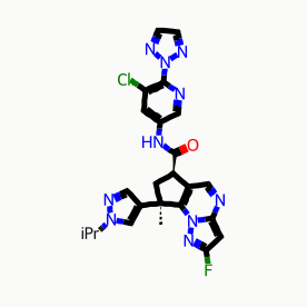 CC(C)n1cc([C@@]2(C)C[C@@H](C(=O)Nc3cnc(-n4nccn4)c(Cl)c3)c3cnc4cc(F)nn4c32)cn1